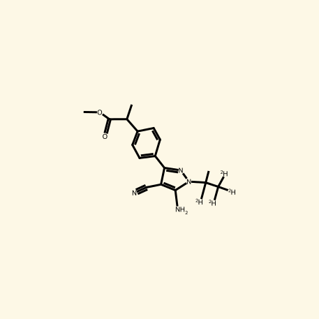 [2H]C([2H])([2H])C([2H])(C)n1nc(-c2ccc(C(C)C(=O)OC)cc2)c(C#N)c1N